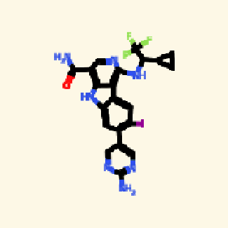 NC(=O)c1cnc(NC(C2CC2)C(F)(F)F)c2c1[nH]c1cc(-c3cnc(N)nc3)c(I)cc12